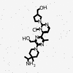 Cc1nc(N2CCC(C)(C(C)N)CC2)c(CO)nc1C1=CC=NC(N2CCC(CO)C2)N1Cl